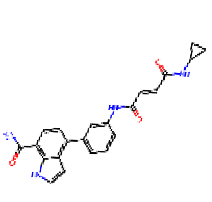 NC(=O)c1ccc(-c2cccc(NC(=O)C=CC(=O)NC3CC3)c2)c2cc[nH]c12